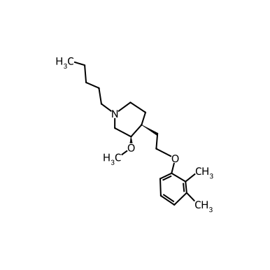 CCCCCN1CC[C@@H](CCOc2cccc(C)c2C)[C@@H](OC)C1